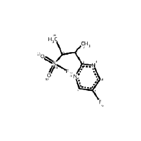 CC(c1ncc(F)cn1)C(C)S(=O)(=O)F